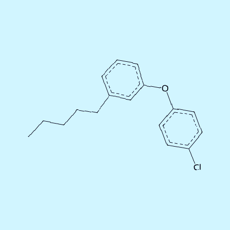 CCCCCc1cccc(Oc2ccc(Cl)cc2)c1